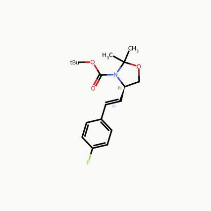 CC(C)(C)OC(=O)N1[C@H](/C=C/c2ccc(F)cc2)COC1(C)C